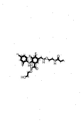 CCC(=O)NCCONCc1cc(C(=O)NOCCO)c(Nc2ccc(I)cc2F)c(F)c1F